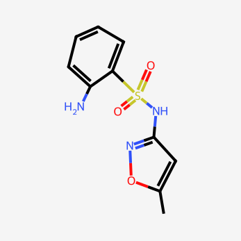 Cc1cc(NS(=O)(=O)c2ccccc2N)no1